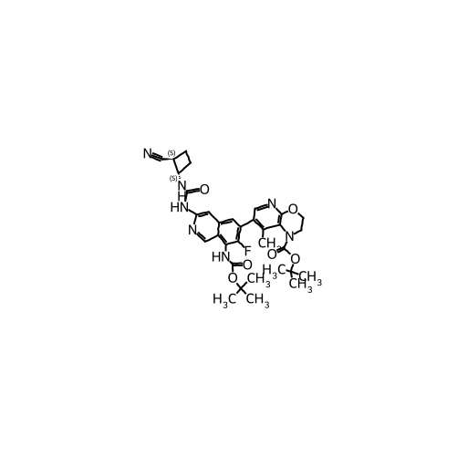 Cc1c(-c2cc3cc(NC(=O)N[C@H]4CC[C@@H]4C#N)ncc3c(NC(=O)OC(C)(C)C)c2F)cnc2c1N(C(=O)OC(C)(C)C)CCO2